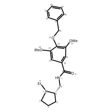 CCN1CCC[C@H]1CNC(=O)c1cc(OC)c(OCc2ccccc2)c(OC)c1